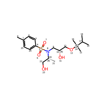 Cc1ccc(S(=O)(=O)N(C[C@@H](O)CO[Si](C)(C)C(C)C)[C@H](C)CO)cc1